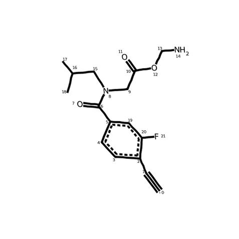 [C]#Cc1ccc(C(=O)N(CC(=O)OCN)CC(C)C)cc1F